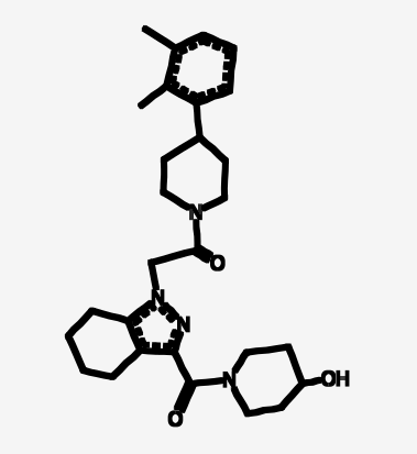 Cc1cccc(C2CCN(C(=O)Cn3nc(C(=O)N4CCC(O)CC4)c4c3CCCC4)CC2)c1C